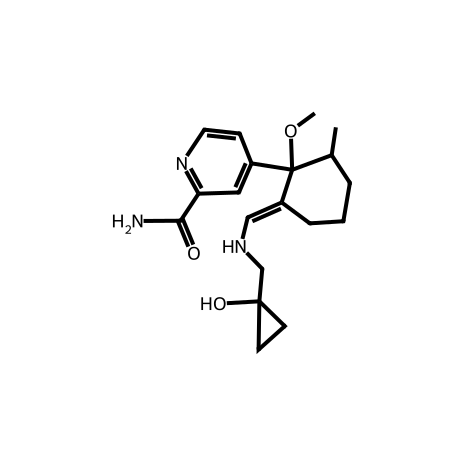 COC1(c2ccnc(C(N)=O)c2)/C(=C/NCC2(O)CC2)CCCC1C